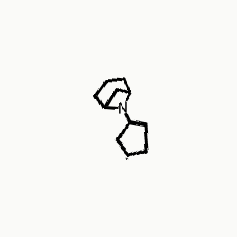 [CH]1CCC(N2C3CCCC2C3)C1